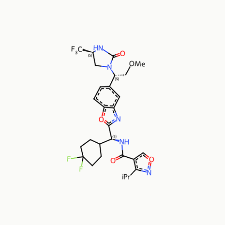 COC[C@H](c1ccc2oc([C@@H](NC(=O)c3conc3C(C)C)C3CCC(F)(F)CC3)nc2c1)N1C[C@@H](C(F)(F)F)NC1=O